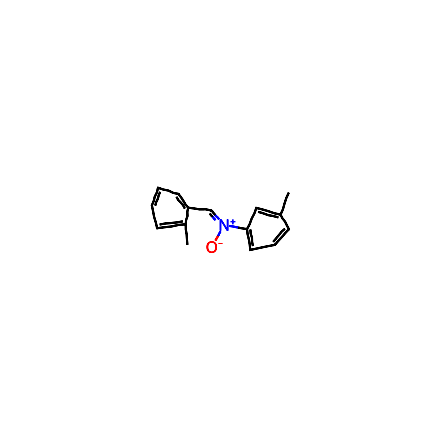 Cc1cccc([N+]([O-])=Cc2ccccc2C)c1